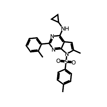 Cc1ccc(S(=O)(=O)n2c(C)cc3c(NC4CC4)nc(-c4ccccc4C)nc32)cc1